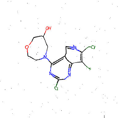 OC1COCCN(c2nc(Cl)nc3c(F)c(Cl)ncc23)C1